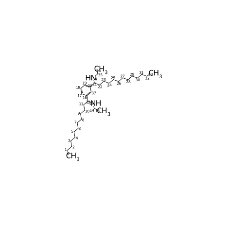 CCCCCCCCCCCCC(NCC)c1cccc(C(CCCCCCCCCCCC)NCC)c1